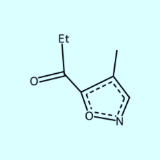 CCC(=O)c1oncc1C